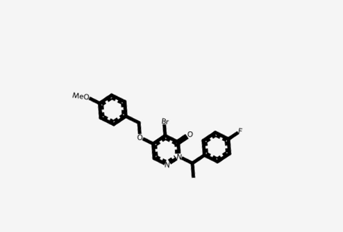 COc1ccc(COc2cnn(C(C)c3ccc(F)cc3)c(=O)c2Br)cc1